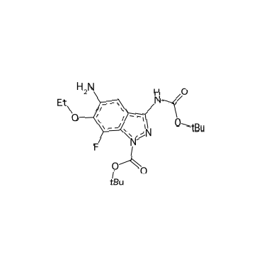 CCOc1c(N)cc2c(NC(=O)OC(C)(C)C)nn(C(=O)OC(C)(C)C)c2c1F